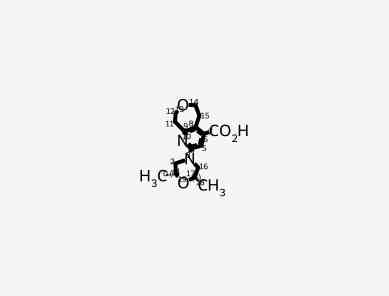 C[C@@H]1CN(c2cc(C(=O)O)c3c(n2)CCOCC3)C[C@H](C)O1